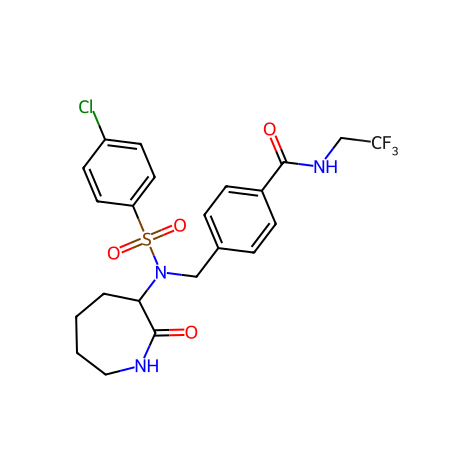 O=C(NCC(F)(F)F)c1ccc(CN(C2CCCCNC2=O)S(=O)(=O)c2ccc(Cl)cc2)cc1